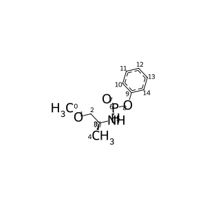 COC[C@H](C)N[PH](=O)Oc1ccccc1